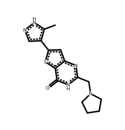 Cc1[nH]ncc1-c1cc2nc(CN3CCCC3)[nH]c(=O)c2s1